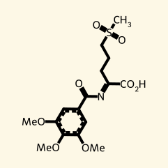 COc1cc(C(=O)N=C(CCCS(C)(=O)=O)C(=O)O)cc(OC)c1OC